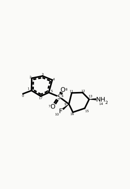 Cc1cccc(S(=O)(=O)[C@]2(F)CC[C@@H](N)CC2)c1